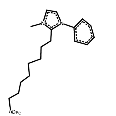 CCCCCCCCCCCCCCCCCCc1n(-c2ccccc2)cc[n+]1C